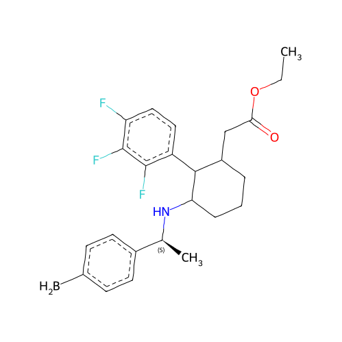 Bc1ccc([C@H](C)NC2CCCC(CC(=O)OCC)C2c2ccc(F)c(F)c2F)cc1